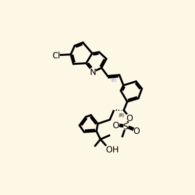 CC(C)(O)c1ccccc1CC[C@@H](OS(C)(=O)=O)c1cccc(/C=C/c2ccc3ccc(Cl)cc3n2)c1